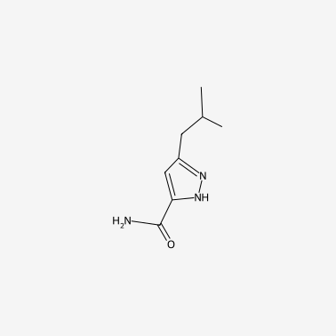 CC(C)Cc1cc(C(N)=O)[nH]n1